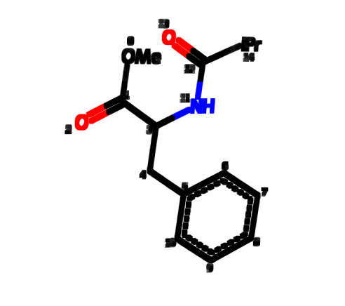 COC(=O)C(Cc1ccccc1)NC(=O)C(C)C